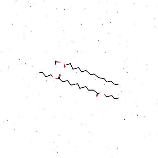 CCCCCCCCCCCCCC(=O)OC(C)C.CCCCOC(=O)CCCCCCCCC(=O)OCCCC